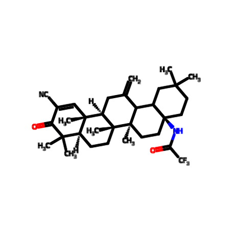 C=C1C[C@@H]2[C@@]3(C)C=C(C#N)C(=O)C(C)(C)[C@@H]3CC[C@@]2(C)[C@]2(C)CC[C@@]3(NC(=O)C(F)(F)F)CCC(C)(C)CC3C12